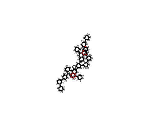 c1ccc(-c2ccc(N(c3ccc(-c4cccc(-c5ccccc5)c4)cc3)c3ccccc3-c3c4ccccc4cc4c3oc3ccc(-c5cccc(-c6cccc(-c7ccc(N(c8ccc(-c9ccccc9)cc8)c8ccccc8-c8cc9ccccc9c9oc%10ccccc%10c89)cc7)c6)c5)cc34)cc2)cc1